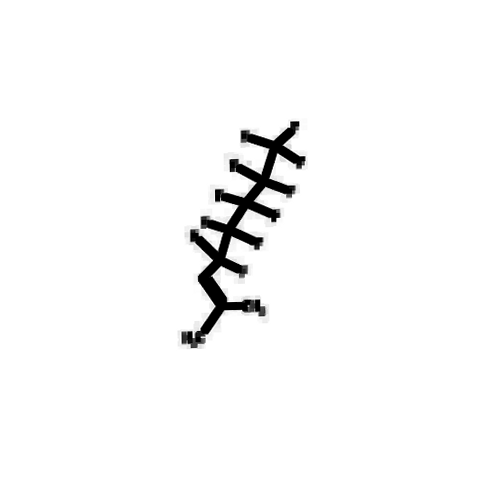 CC(C)=CC(F)(F)C(F)(F)C(F)(F)C(F)(F)C(F)(F)F